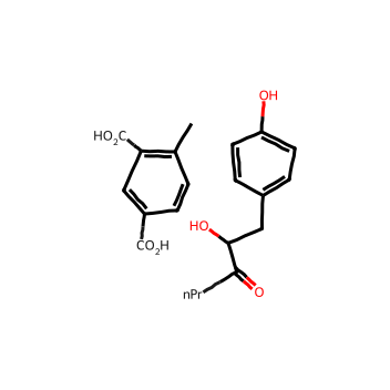 CCCC(=O)C(O)Cc1ccc(O)cc1.Cc1ccc(C(=O)O)cc1C(=O)O